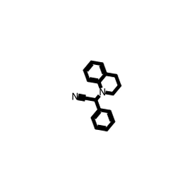 N#CC(c1ccccc1)N1CCCc2ccccc21